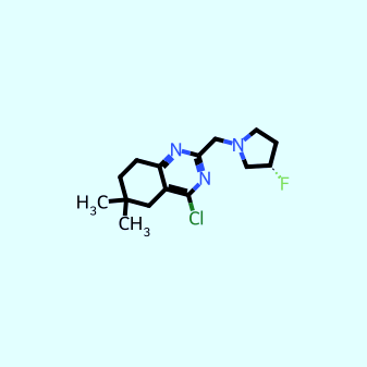 CC1(C)CCc2nc(CN3CC[C@H](F)C3)nc(Cl)c2C1